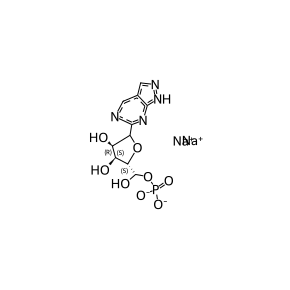 O=P([O-])([O-])OC(O)[C@H]1OC(c2ncc3cn[nH]c3n2)[C@H](O)[C@@H]1O.[Na+].[Na+]